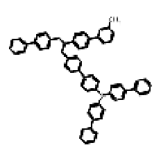 Cc1cccc(-c2ccc(C(Cc3ccc(-c4ccccc4)cc3)Cc3ccc(-c4ccc(N(c5ccc(-c6ccccc6)cc5)c5ccc(-c6ccccc6)cc5)cc4)cc3)cc2)c1